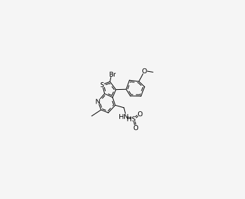 COc1cccc(-c2c(Br)sc3nc(C)cc(CN[SH](=O)=O)c23)c1